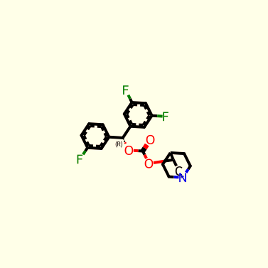 O=C(OC1CN2CCC1CC2)O[C@H](c1cccc(F)c1)c1cc(F)cc(F)c1